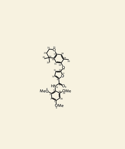 COc1cc(OC)c(NC(=O)c2ccc(Oc3cc4c(cc3C)OCCC4(C)C)o2)c(OC)c1